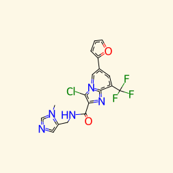 Cn1cncc1CNC(=O)c1nc2c(C(F)(F)F)cc(-c3ccco3)cn2c1Cl